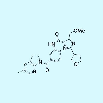 COCc1nc(C2CCOC2)n2c1c(=O)[nH]c1cc(C(=O)N3CCc4cc(C)cnc43)ccc12